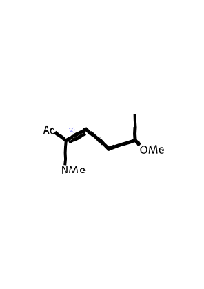 CN/C(=C\CC(C)OC)C(C)=O